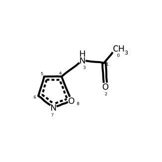 CC(=O)Nc1ccno1